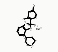 C[C@]1(c2ccc(Cl)cc2F)Oc2cccc(C3CCNCC3)c2O1.Cl